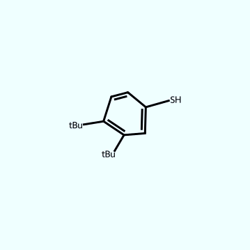 CC(C)(C)c1ccc(S)cc1C(C)(C)C